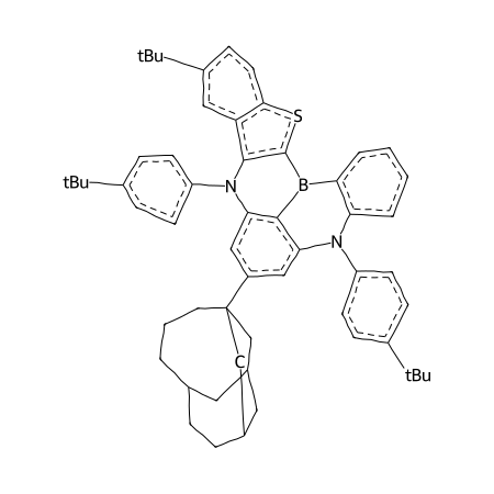 CC(C)(C)c1ccc(N2c3ccccc3B3c4sc5ccc(C(C)(C)C)cc5c4N(c4ccc(C(C)(C)C)cc4)c4cc(C56CCCC7CCC(CC(C7)C5)C6)cc2c43)cc1